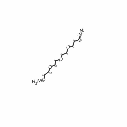 [N-]=[N+]=NCCOCCOCCOCCON